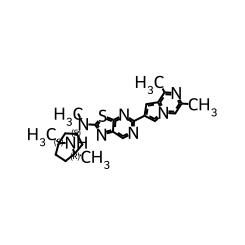 Cc1cn2cc(-c3ncc4nc(N(C)[C@H]5C[C@]6(C)CC[C@](C)(C5)N6)sc4n3)cc2c(C)n1